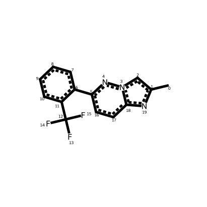 Cc1cn2nc(-c3ccccc3C(F)(F)F)ccc2n1